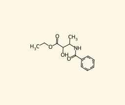 CCOC(=O)C(O)C(C)NC(=O)c1ccccc1